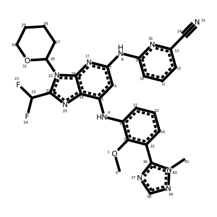 COc1c(Nc2cc(Nc3cccc(C#N)n3)nc3c2nc(C(F)F)n3C2CCCCO2)cccc1-c1ncnn1C